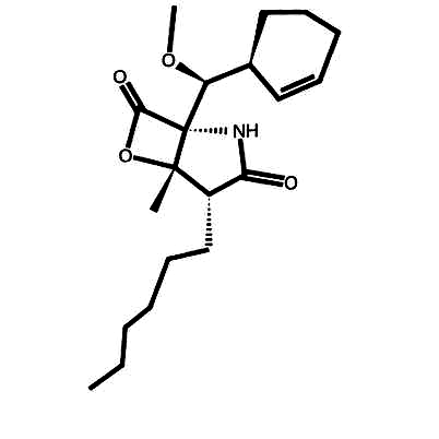 CCCCCC[C@H]1C(=O)N[C@@]2([C@@H](OC)[C@@H]3C=CCCC3)C(=O)O[C@@]12C